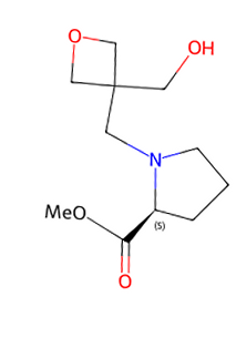 COC(=O)[C@@H]1CCCN1CC1(CO)COC1